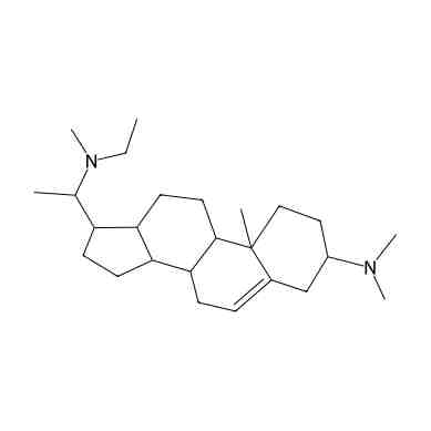 CCN(C)C(C)C1CCC2C1CCC1C2CC=C2CC(N(C)C)CCC21C